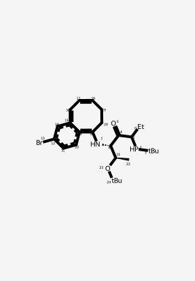 CCC(PC(C)(C)C)C(=O)[C@@H](N\C1=c2/ccc(Br)c/c2=C/C=C\CC1)[C@@H](C)OC(C)(C)C